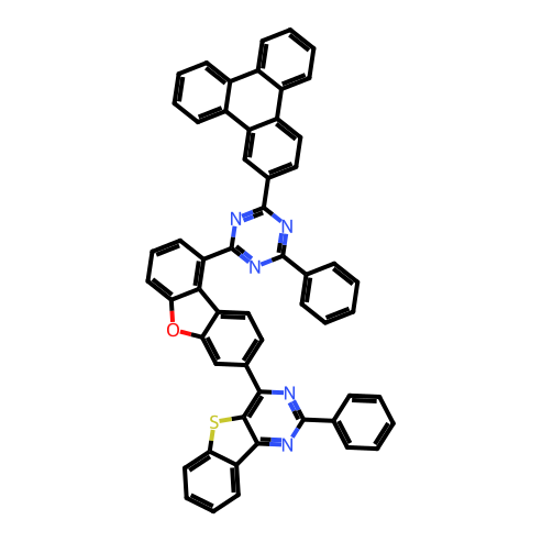 c1ccc(-c2nc(-c3ccc4c5ccccc5c5ccccc5c4c3)nc(-c3cccc4oc5cc(-c6nc(-c7ccccc7)nc7c6sc6ccccc67)ccc5c34)n2)cc1